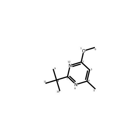 COc1cc(C)nc(C(C)(C)C)n1